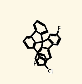 Fc1ccc2c(c1)C1(c3cc(F)ccc3-2)c2ccccc2-c2cccc(-c3ccc(Cl)cc3)c21